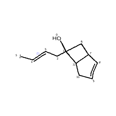 OC1(C/C=C/I)CC2C=CCC21